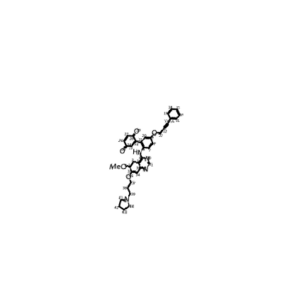 COc1cc2c(Nc3ccc(OCC#Cc4ccccc4)cc3C3=CC(=O)C=CC3=O)ncnc2cc1OCCCN1CCCC1